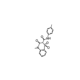 Cc1ccc(NC(=O)C2C(=O)N(C)c3ccccc3S2(=O)=O)cc1